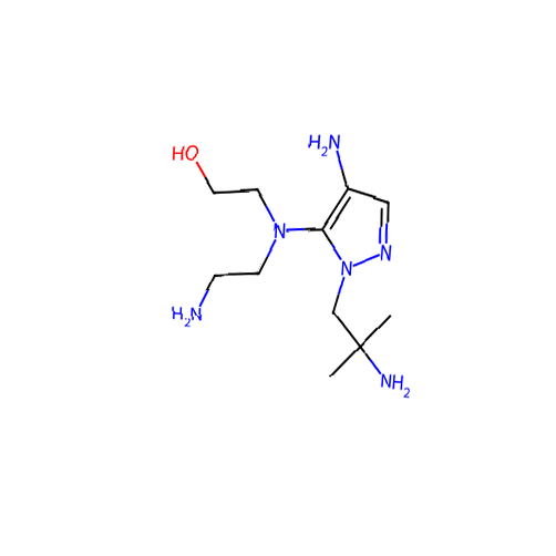 CC(C)(N)Cn1ncc(N)c1N(CCN)CCO